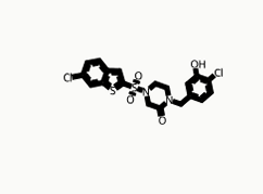 O=C1CN(S(=O)(=O)c2cc3ccc(Cl)cc3s2)CCN1Cc1ccc(Cl)c(O)c1